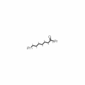 CC(C)CCCCCCC(=O)C(C)C